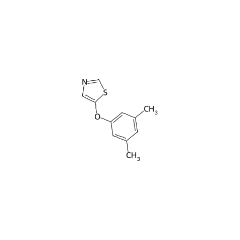 Cc1cc(C)cc(Oc2cncs2)c1